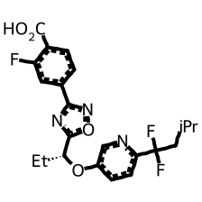 CC[C@@H](Oc1ccc(C(F)(F)CC(C)C)nc1)c1nc(-c2ccc(C(=O)O)c(F)c2)no1